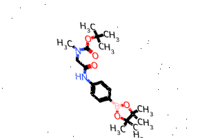 CN(CC(=O)Nc1ccc(B2OC(C)(C)C(C)(C)O2)cc1)C(=O)OC(C)(C)C